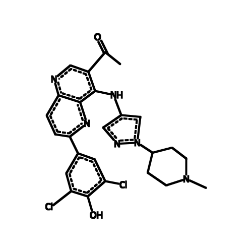 CC(=O)c1cnc2ccc(-c3cc(Cl)c(O)c(Cl)c3)nc2c1Nc1cnn(C2CCN(C)CC2)c1